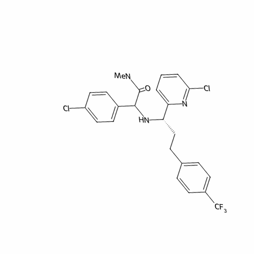 CNC(=O)C(N[C@@H](CCc1ccc(C(F)(F)F)cc1)c1cccc(Cl)n1)c1ccc(Cl)cc1